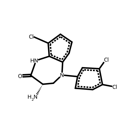 N[C@H]1CN(c2ccc(Cl)c(Cl)c2)c2cccc(Cl)c2NC1=O